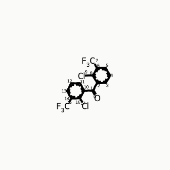 O=C(c1cccc(C(F)(F)F)c1Cl)c1cccc(C(F)(F)F)c1Cl